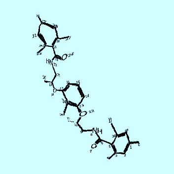 Cc1cc(C)c(C(=O)NC[C@H](C)Oc2cccc(O[C@@H](C)CNC(=O)c3c(C)cc(C)cc3C)c2I)c(C)c1